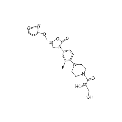 O=C([C@H](O)CO)N1CCN(c2ccc(N3C[C@H](COc4ccon4)OC3=O)cc2F)CC1